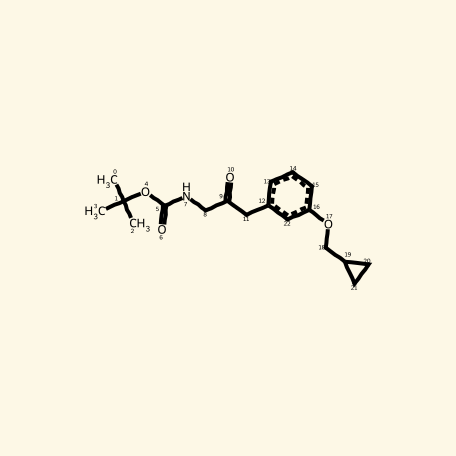 CC(C)(C)OC(=O)NCC(=O)Cc1cccc(OCC2CC2)c1